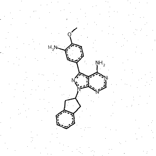 COc1ccc(-c2nn(C3Cc4ccccc4C3)c3ncnc(N)c23)cc1N